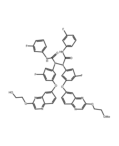 COCCOc1cnc2ccc(Oc3cc(F)cc(N(C(=O)Nc4cccc(F)c4)N(C(=O)Nc4cccc(F)c4)c4cc(F)cc(Oc5ccc6ncc(OCCO)nc6c5)c4)c3)cc2n1